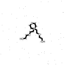 OCCOCC[N+]1(CCOCCO)CCOCC1